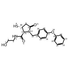 O=C(NCCO)[C@H]1[C@H](S)CC(=O)N1Cc1ccc(Oc2ccccc2)cc1